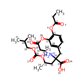 CCC(=O)Oc1ccc(CC(N)(C[C@H](C)OC(=O)OCC(C)C)C(=O)O)cc1OC(=O)CC